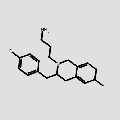 CC1C=C2CC(Cc3ccc(F)cc3)N(CCCN)CC2=CC1